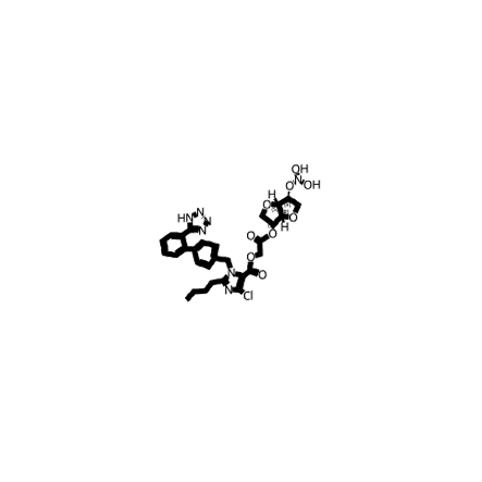 CCCCc1nc(Cl)c(C(=O)OCC(=O)O[C@H]2CO[C@H]3[C@@H]2OC[C@H]3ON(O)O)n1Cc1ccc(-c2ccccc2-c2nnn[nH]2)cc1